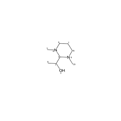 CC(O)C1N(C)CCCN1C